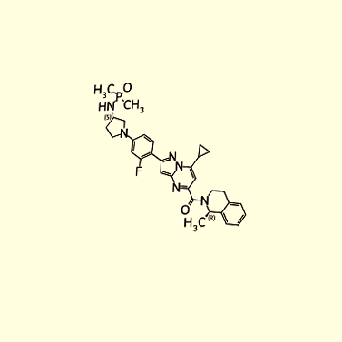 C[C@@H]1c2ccccc2CCN1C(=O)c1cc(C2CC2)n2nc(-c3ccc(N4CC[C@H](NP(C)(C)=O)C4)cc3F)cc2n1